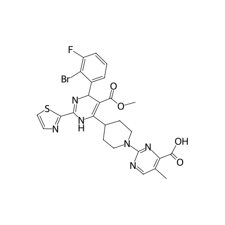 COC(=O)C1=C(C2CCN(c3ncc(C)c(C(=O)O)n3)CC2)NC(c2nccs2)=NC1c1cccc(F)c1Br